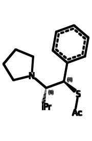 CC(=O)S[C@H](c1ccccc1)[C@H](C(C)C)N1CCCC1